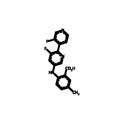 Cc1ccc(Nc2cnc(-c3ccncc3F)c(F)c2)c(C(=O)O)c1